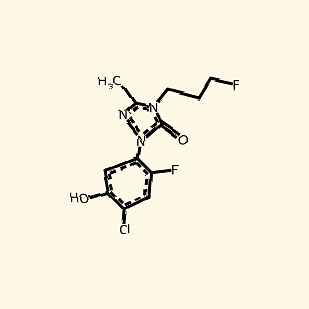 Cc1nn(-c2cc(O)c(Cl)cc2F)c(=O)n1CCCF